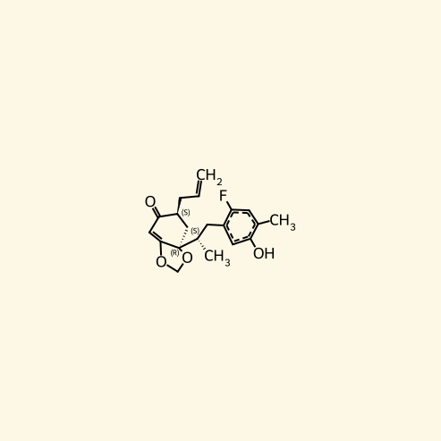 C=CC[C@H]1C[C@]2([C@@H](C)Cc3cc(O)c(C)cc3F)OCOC2=CC1=O